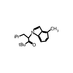 Cc1cccc2c1ccn2C(CC(C)C)C(=O)C(C)(C)C